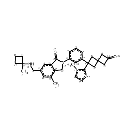 Cn1cnnc1C1(c2cccc(N3Cc4c(cc(CNC5(C)CCC5)cc4C(F)(F)F)C3=O)c2)CC2(CC(=O)C2)C1